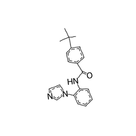 CC(C)(C)c1ccc(C(=O)Nc2ccccc2-n2ccnc2)cc1